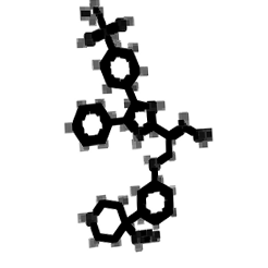 COC1(c2cccc(OC/C(=N\O)c3nc(-c4ccccc4)c(-c4ccc(S(N)(=O)=O)cc4)o3)c2)CCOCC1